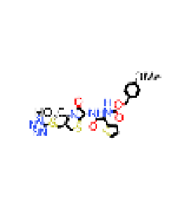 COc1ccc(COC(=O)NC(C(=O)N[C@@H]2C(=O)N3C(C(=O)O)=C(CSc4nnnn4C)CSC23)c2cccs2)cc1